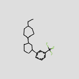 CCC1CCC(C2CCCC(c3cccc(C(F)(F)F)c3)C2)CC1